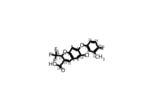 Cc1cc(Oc2cc3c(cc2Cl)C=C(C(=O)O)C(C(F)(F)F)O3)ccc1F